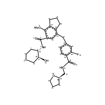 COc1c(C(=O)N[C@H]2CCOC[C@@H]2O)cc(Cc2ccc(C(=O)NC[C@H]3CCCO3)c(F)c2)c2c1CCC2